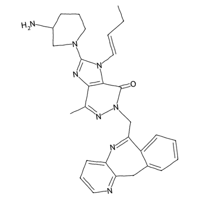 CCC=Cn1c(N2CCCC(N)C2)nc2c(C)nn(CC3=Nc4cccnc4Cc4ccccc43)c(=O)c21